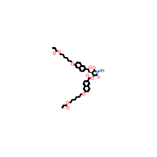 C=CC(=O)OCCCCCCOc1ccc2cc(C(=O)C[C@H]3C(=O)N(CCC)C(=O)[C@@H]3OC(=O)c3ccc4cc(OCCCCCCOC(=O)C=C)ccc4c3)ccc2c1